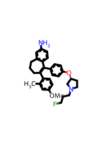 COc1ccc(C2=C(c3ccc(O[C@H]4CCN(CCCF)C4)cc3)c3ccc(N)cc3CCC2)c(C)c1